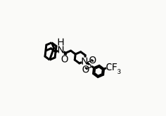 O=C(CC1CCN(S(=O)(=O)c2cccc(C(F)(F)F)c2)CC1)NC12CC3CC(CC(C3)C1)C2